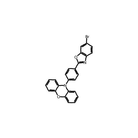 Brc1ccc2nc(-c3ccc(N4c5ccccc5Oc5ccccc54)cc3)oc2c1